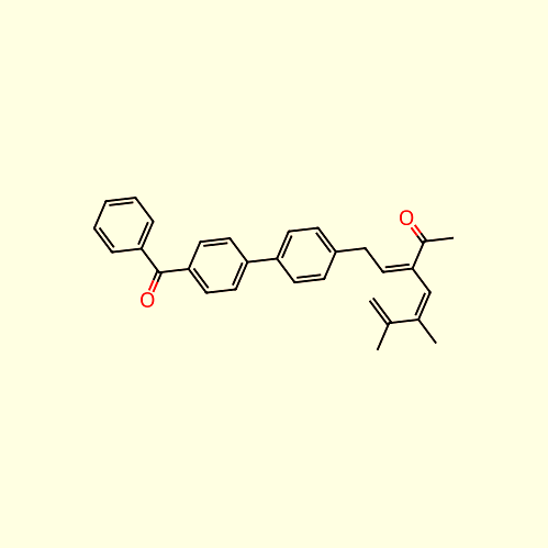 C=C(C)C(C)=CC(=CCc1ccc(-c2ccc(C(=O)c3ccccc3)cc2)cc1)C(C)=O